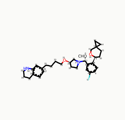 O=C[C@H](c1cc(F)ccc1[C@@H]1CCC2(CC2)CO1)N1CC[C@@H](OCCCCc2ccc3c(c2)NCCC3)C1